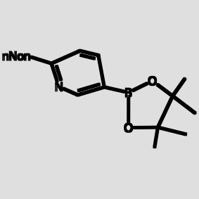 CCCCCCCCCc1ccc(B2OC(C)(C)C(C)(C)O2)cn1